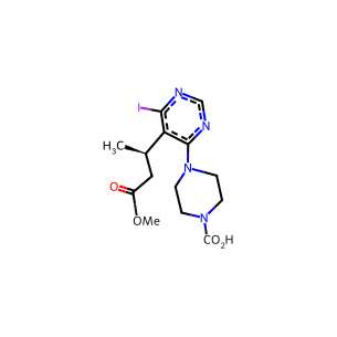 COC(=O)C[C@@H](C)c1c(I)ncnc1N1CCN(C(=O)O)CC1